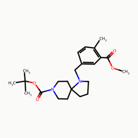 COC(=O)c1cc(CN2CCCC23CCN(C(=O)OC(C)(C)C)CC3)ccc1C